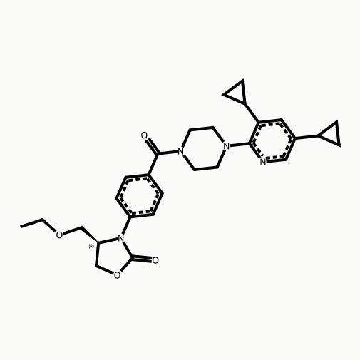 CCOC[C@@H]1COC(=O)N1c1ccc(C(=O)N2CCN(c3ncc(C4CC4)cc3C3CC3)CC2)cc1